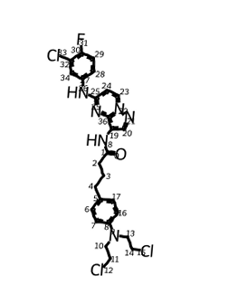 O=C(CCCc1ccc(N(CCCl)CCCl)cc1)Nc1cnn2ccc(Nc3ccc(F)c(Cl)c3)nc12